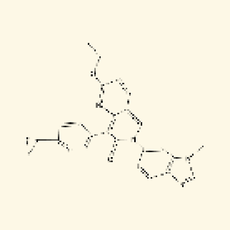 CCOc1ccc2cn(-c3ccc4ncn(C)c4c3)c(=O)c(-c3ccc(C4CC4)nc3)c2n1